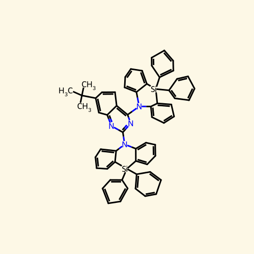 CC(C)(C)c1ccc2c(N3c4ccccc4[Si](c4ccccc4)(c4ccccc4)c4ccccc43)nc(N3c4ccccc4[Si](c4ccccc4)(c4ccccc4)c4ccccc43)nc2c1